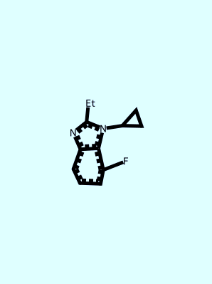 CCc1nc2cccc(F)c2n1C1CC1